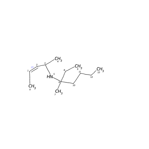 C/C=C\C(C)NC(C)(CC)CCCC